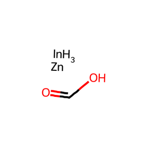 O=CO.[InH3].[Zn]